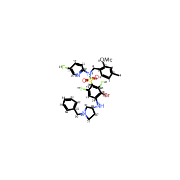 COc1cc(C)ccc1CN(c1ccc(F)cn1)S(=O)(=O)c1c(F)cc(N[C@H]2CCN(Cc3ccccc3)C2)c(Br)c1F